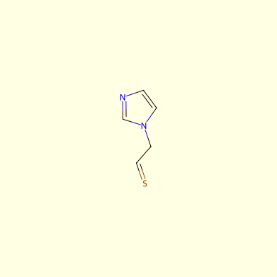 S=CCn1ccnc1